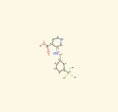 COC(=O)c1ccncc1NCc1cccc(C(F)(F)F)c1